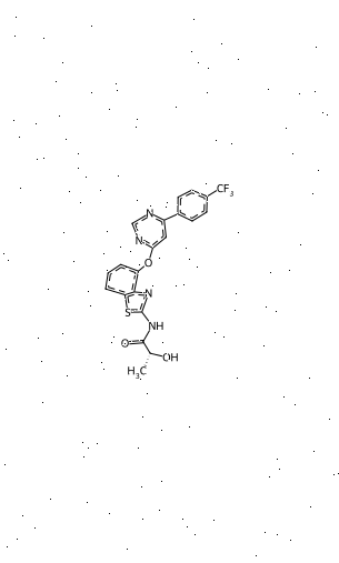 C[C@@H](O)C(=O)Nc1nc2c(Oc3cc(-c4ccc(C(F)(F)F)cc4)ncn3)cccc2s1